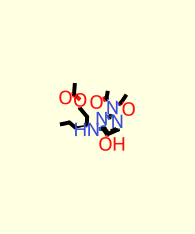 CCC[C@@H](CCOC(C)=O)Nc1nc(N(C(C)=O)C(C)=O)ncc1O